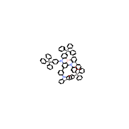 c1ccc(-c2cccc3c2N(c2ccc([Si](c4ccccc4)(c4ccccc4)c4ccccc4)cc2)c2cc(-c4cccc(-n5c6ccccc6c6ccccc65)c4)cc4c2B3c2cc([Si](c3ccccc3)(c3ccccc3)c3ccccc3)ccc2N4c2ccc([Si](c3ccccc3)(c3ccccc3)c3ccccc3)cc2)cc1